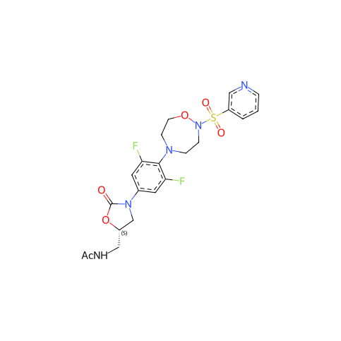 CC(=O)NC[C@H]1CN(c2cc(F)c(N3CCON(S(=O)(=O)c4cccnc4)CC3)c(F)c2)C(=O)O1